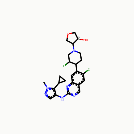 Cn1ncc(Nc2ncc3cc(Cl)c(C4CCN(C5COC[C@H]5O)CC4F)cc3n2)c1C1CC1